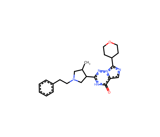 CC1CN(CCc2ccccc2)CC1c1nn2c(C3CCOCC3)ncc2c(=O)[nH]1